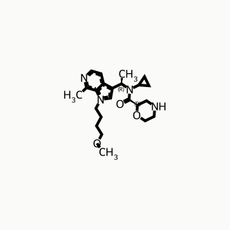 COCCCCn1cc([C@@H](C)N(C(=O)[C@H]2CNCCO2)C2CC2)c2ccnc(C)c21